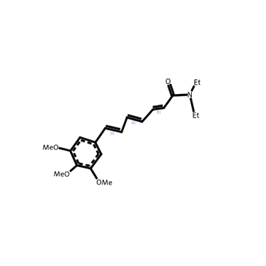 CCN(CC)C(=O)/C=C/C=C/C=C/c1cc(OC)c(OC)c(OC)c1